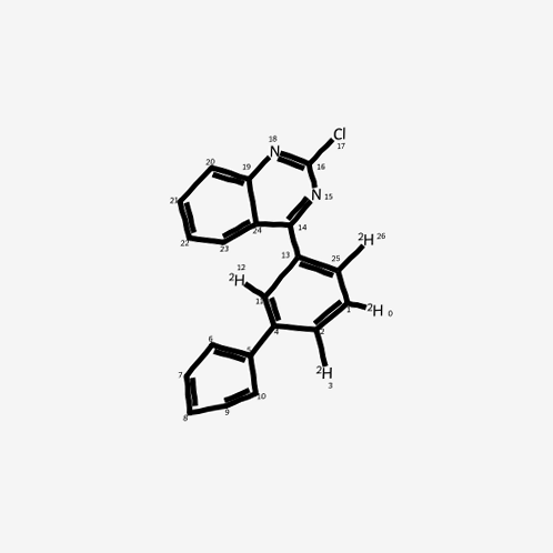 [2H]c1c([2H])c(-c2ccccc2)c([2H])c(-c2nc(Cl)nc3ccccc23)c1[2H]